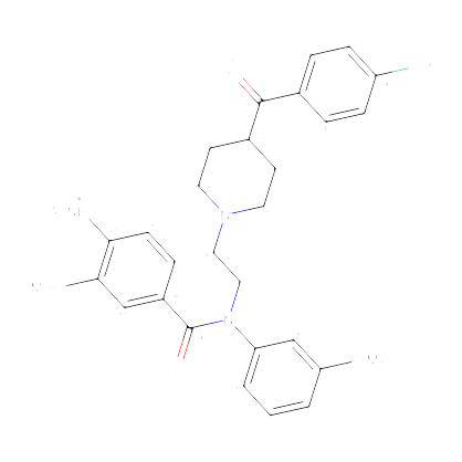 COc1cccc(N(CCN2CCC(C(=O)c3ccc(F)cc3)CC2)C(=O)c2ccc(NC(C)=O)c(OC)c2)c1